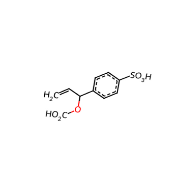 C=CC(OC(=O)O)c1ccc(S(=O)(=O)O)cc1